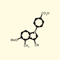 COc1ccc2c(c(C#N)cn2-c2ccc(C(=O)O)cc2)c1C